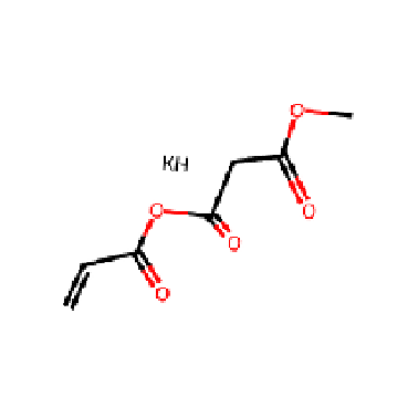 C=CC(=O)OC(=O)CC(=O)OC.[KH]